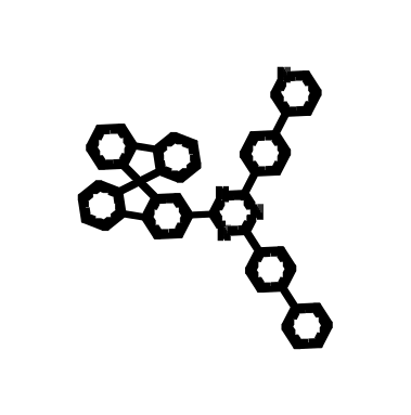 c1ccc(-c2ccc(-c3nc(-c4ccc(-c5cccnc5)cc4)nc(-c4ccc5c(c4)C4(c6ccccc6-c6ccccc64)c4ccccc4-5)n3)cc2)cc1